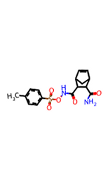 Cc1ccc(S(=O)(=O)ONC(=O)C2C3C=CC(C3)C2C(N)=O)cc1